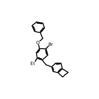 CCc1cc(OCc2ccccc2)c(Br)cc1Cc1ccc2c(c1)CC2